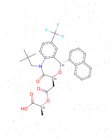 C[C@H](OC(=O)C[C@@H]1O[C@@H](c2cccc3ccccc23)c2cc(C(F)(F)F)ccc2N(CC(C)(C)C)C1=O)C(=O)O